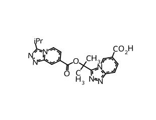 CC(C)c1nnc2cc(C(=O)OC(C)(C)c3nnc4ccc(C(=O)O)cn34)ccn12